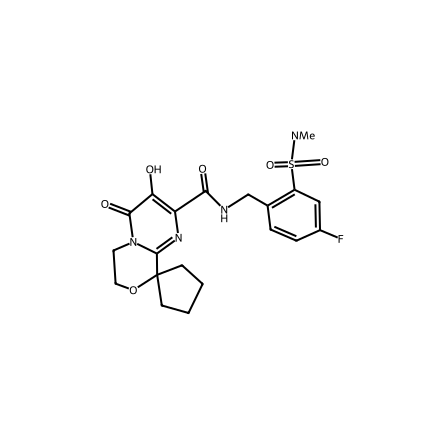 CNS(=O)(=O)c1cc(F)ccc1CNC(=O)c1nc2n(c(=O)c1O)CCOC21CCCC1